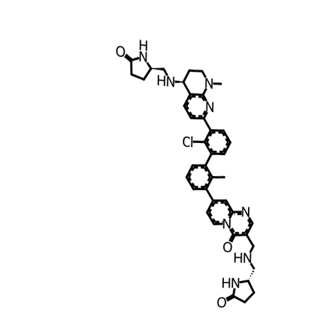 Cc1c(-c2ccn3c(=O)c(CNC[C@@H]4CCC(=O)N4)cnc3c2)cccc1-c1cccc(-c2ccc3c(n2)N(C)CC[C@@H]3NC[C@H]2CCC(=O)N2)c1Cl